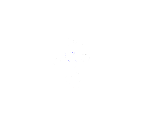 c1ccc(-c2nc(-c3ccccc3)nc(-n3c4cc(-c5cccc6oc7ccccc7c56)ccc4c4ccc5sc6ccccc6c5c43)n2)cc1